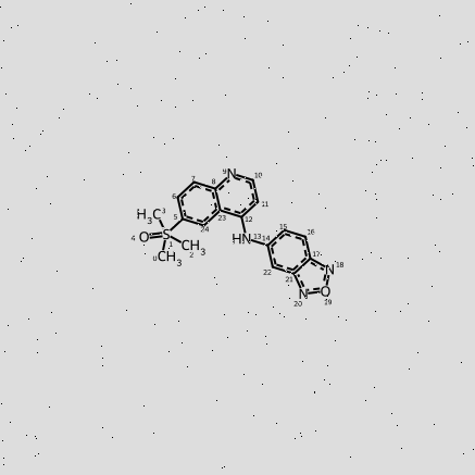 CS(C)(C)(=O)c1ccc2nccc(Nc3ccc4nonc4c3)c2c1